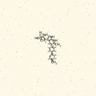 C[C@H]1Nc2[nH]c3cnc(C(C)(C)O)cc3c2C=C1c1ccc(N2CCN(C)CC2)cc1